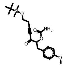 COc1ccc(CC(OC(N)=O)C(=O)C#CCCO[Si](C)(C)C(C)(C)C)cc1